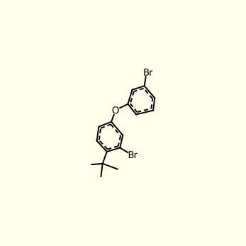 CC(C)(C)c1ccc(Oc2cccc(Br)c2)cc1Br